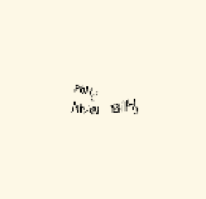 [BiH3].[Nb].[PbH2].[W]